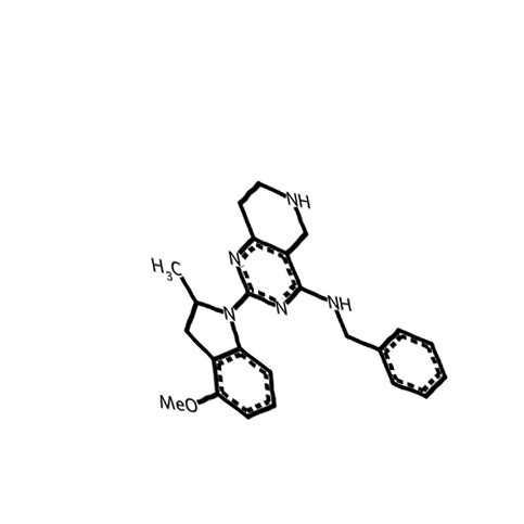 COc1cccc2c1CC(C)N2c1nc2c(c(NCc3ccccc3)n1)CNCC2